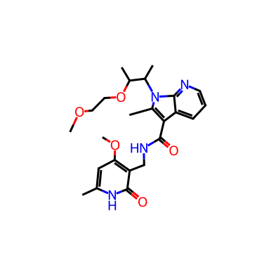 COCCOC(C)C(C)n1c(C)c(C(=O)NCc2c(OC)cc(C)[nH]c2=O)c2cccnc21